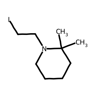 CC1(C)CCCCN1CCI